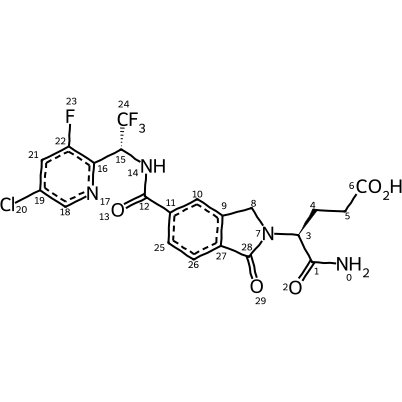 NC(=O)[C@H](CCC(=O)O)N1Cc2cc(C(=O)N[C@H](c3ncc(Cl)cc3F)C(F)(F)F)ccc2C1=O